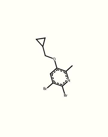 Cc1nc(Br)c(Br)cc1OCC1CC1